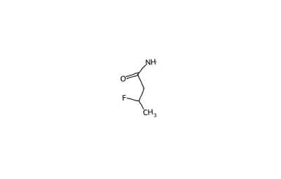 CC(F)CC([NH])=O